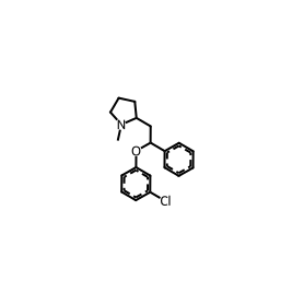 CN1CCCC1CC(Oc1cccc(Cl)c1)c1ccccc1